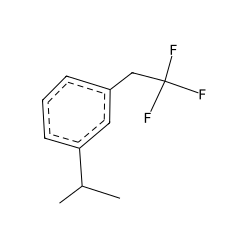 CC(C)c1cccc(CC(F)(F)F)c1